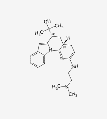 CN(C)CCNC1=CC[C@H]2C[C@@H](C(C)(C)O)c3cc4ccccc4n3C2=N1